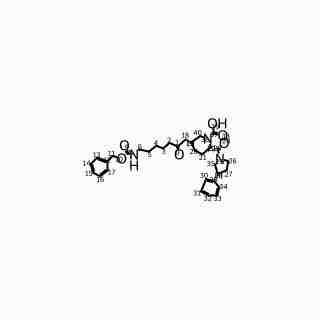 O=C(CCCCCNC(=O)OCc1ccccc1)C[C@@H]1CC[C@@H](C(=O)N2CC[C@H](c3ccccc3)C2)N(C(=O)O)C1